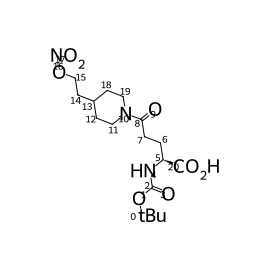 CC(C)(C)OC(=O)N[C@@H](CCC(=O)N1CCC(CCO[N+](=O)[O-])CC1)C(=O)O